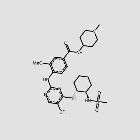 COc1cc(C(=O)NC2CCN(C)CC2)ccc1Nc1ncc(C(F)(F)F)c(N[C@@H]2CCCC[C@H]2NS(C)(=O)=O)n1